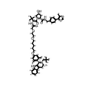 Cc1ncsc1-c1ccc(CNC(=O)[C@@H]2C[C@@H](O)CN2C(=O)[C@@H](NC(=O)COCCOCCCCCOc2cc(F)c([C@@H]3c4[nH]c5ccccc5c4C[C@@H](C)N3CC(C)(C)F)c(F)c2)C(C)(C)C)cc1